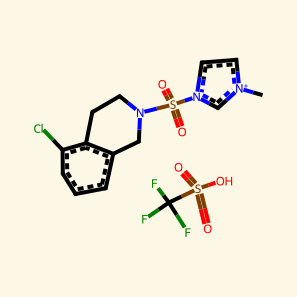 C[n+]1ccn(S(=O)(=O)N2CCc3c(Cl)cccc3C2)c1.O=S(=O)(O)C(F)(F)F